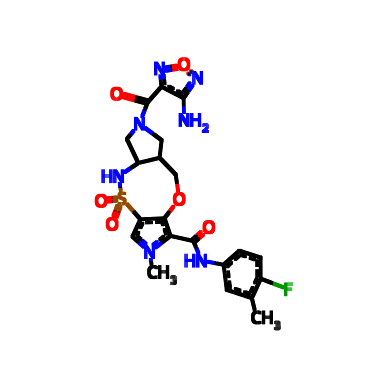 Cc1cc(NC(=O)c2c3c(cn2C)S(=O)(=O)NC2CN(C(=O)c4nonc4N)CC2CO3)ccc1F